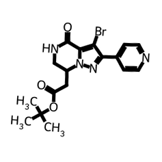 CC(C)(C)OC(=O)CC1CNC(=O)c2c(Br)c(-c3ccncc3)nn21